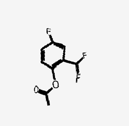 CC(=O)Oc1ccc(F)cc1C(F)F